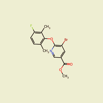 COC(=O)c1cnc(Oc2c(C)ccc(F)c2C)c(Br)c1